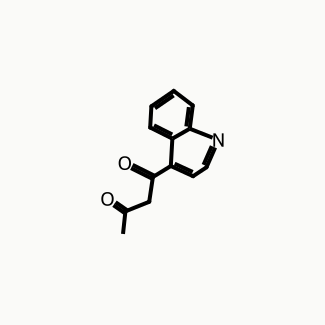 CC(=O)CC(=O)c1ccnc2ccccc12